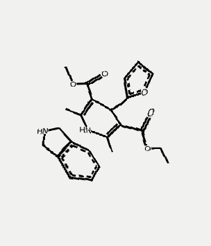 CCOC(=O)C1=C(C)NC(C)=C(C(=O)OC)C1c1ccco1.c1ccc2c(c1)CNC2